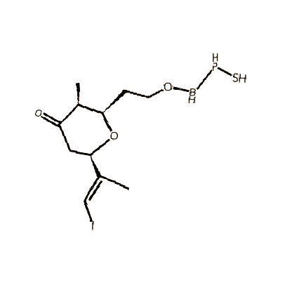 C/C(=C\I)[C@H]1CC(=O)[C@@H](C)[C@@H](CCOBPS)O1